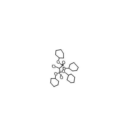 O=P(OC1CCCCC1)(OC1CCCCC1)C(Cl)P(=O)(OC1CCCCC1)OC1CCCCC1